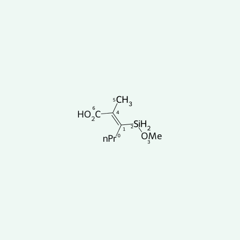 CCC/C([SiH2]OC)=C(/C)C(=O)O